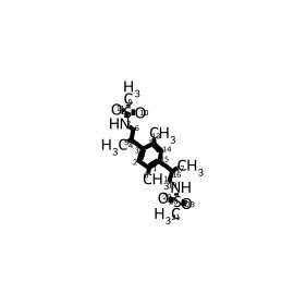 Cc1cc(C(C)CNS(C)(=O)=O)c(C)cc1C(C)CNS(C)(=O)=O